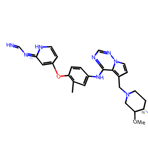 COC1CN(Cc2ccn3ncnc(Nc4ccc(Oc5cc[nH]/c(=N\C=N)c5)c(C)c4)c23)CC[C@@H]1N